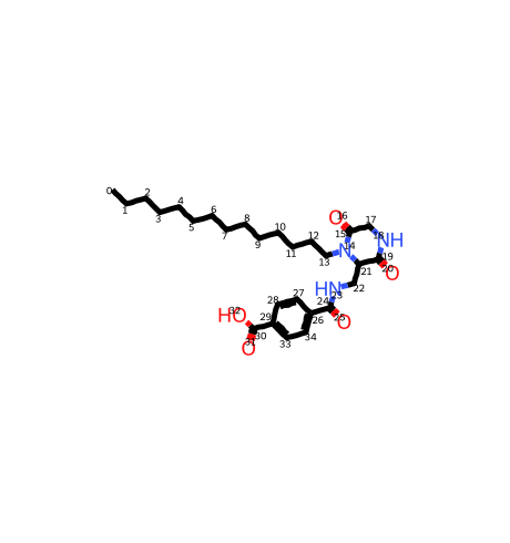 CCCCCCCCCCCCCCN1C(=O)CNC(=O)C1CNC(=O)c1ccc(C(=O)O)cc1